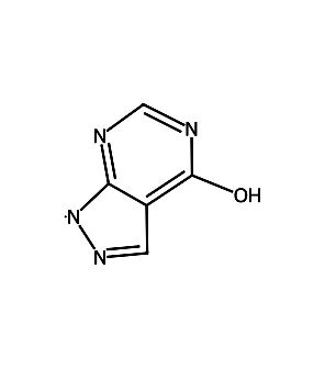 Oc1ncnc2c1C=N[N]2